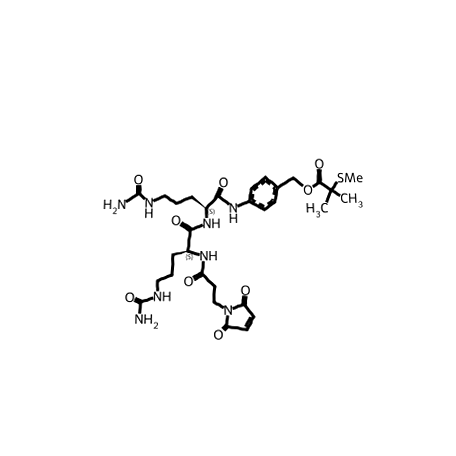 CSC(C)(C)C(=O)OCc1ccc(NC(=O)[C@H](CCCNC(N)=O)NC(=O)[C@H](CCCNC(N)=O)NC(=O)CCN2C(=O)C=CC2=O)cc1